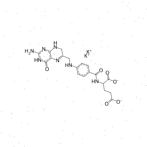 Nc1nc2c(c(=O)[nH]1)N=C(CNc1ccc(C(=O)NC(CCC(=O)[O-])C(=O)[O-])cc1)CN2.[K+].[K+]